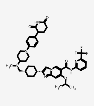 CC(C)Oc1cc2nc([C@H]3CC[C@H](CN(C)C4CCN(c5ccc(C6CCC(=O)NC6=O)cc5)CC4)CC3)cn2cc1C(=O)Nc1cccc(C(F)(F)F)n1